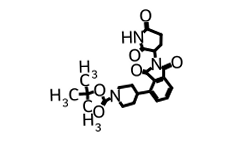 CC(C)(C)OC(=O)N1CCC(c2cccc3c2C(=O)N(C2CCC(=O)NC2=O)C3=O)CC1